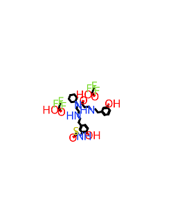 O=C(CCNCCc1cccc(O)c1)N(CCNCCc1ccc(O)c2[nH]c(=O)sc12)C1CCCCC1.O=C(O)C(F)(F)F.O=C(O)C(F)(F)F